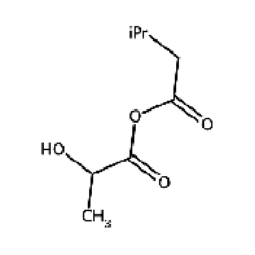 CC(C)CC(=O)OC(=O)C(C)O